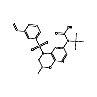 C=Cc1cccc(S(=O)(=O)N2CC(C)Oc3ncc(N(C(=O)O)C(C)(C)C)cc32)c1